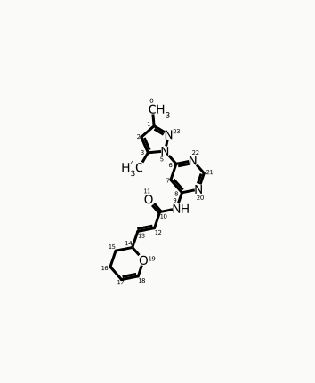 Cc1cc(C)n(-c2cc(NC(=O)/C=C/C3CCC=CO3)ncn2)n1